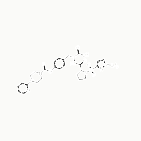 Cn1ccc(S(=O)(=O)N2CCC[C@H]2C(=O)N[C@@H](Cc2ccc(OC(=O)N3CCN(c4ccccn4)CC3)cc2)C(=O)O)n1